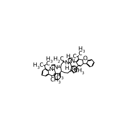 C=C1CC2C(CCc3ccccc3-c3n(C4=C(C(C)C)C5Oc6ccccc6C5C=C4C(C)C)cc[n+]31)c1ccccc1-c1n(-c3c(C(C)C)cccc3C(C)C)cc[n+]12